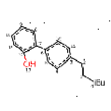 CCC(C)CCc1ccc(-c2ccccc2O)cc1